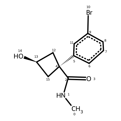 CNC(=O)[C@]1(c2cccc(Br)c2)C[C@H](O)C1